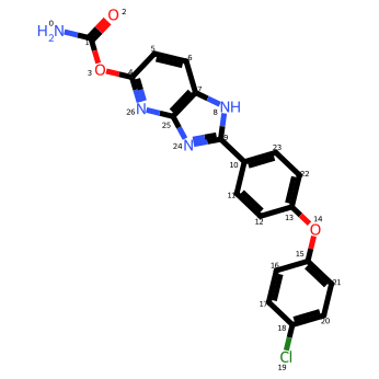 NC(=O)Oc1ccc2[nH]c(-c3ccc(Oc4ccc(Cl)cc4)cc3)nc2n1